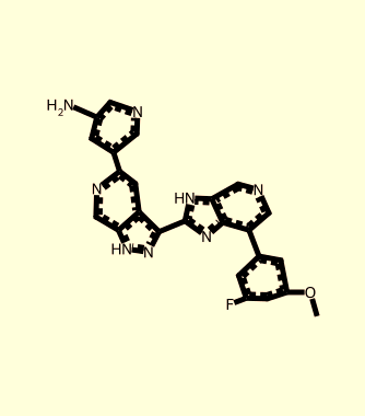 COc1cc(F)cc(-c2cncc3[nH]c(-c4n[nH]c5cnc(-c6cncc(N)c6)cc45)nc23)c1